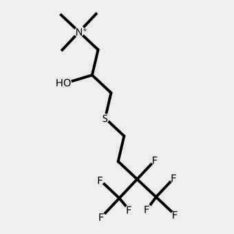 C[N+](C)(C)CC(O)CSCCC(F)(C(F)(F)F)C(F)(F)F